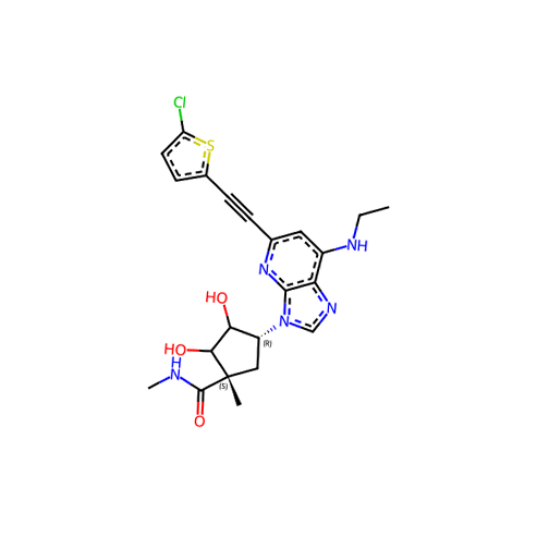 CCNc1cc(C#Cc2ccc(Cl)s2)nc2c1ncn2[C@@H]1C[C@](C)(C(=O)NC)C(O)C1O